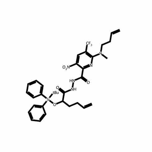 C=CCCC(O[Si](c1ccccc1)(c1ccccc1)C(C)(C)C)C(=O)NNC(=O)c1nc(N(C)CCC=C)c(C(F)(F)F)cc1[N+](=O)[O-]